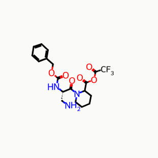 NC[C@H](NC(=O)OCc1ccccc1)C(=O)N1CCCCC1C(=O)OC(=O)C(F)(F)F